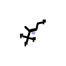 C/C(=C\CF)C(F)(F)F